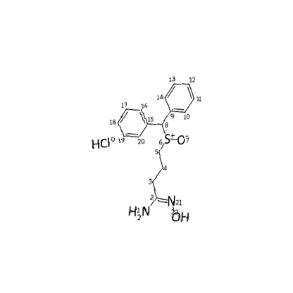 Cl.NC(CCC[S+]([O-])C(c1ccccc1)c1ccccc1)=NO